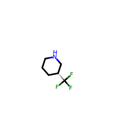 FC(F)(F)[C@@H]1CCCNC1